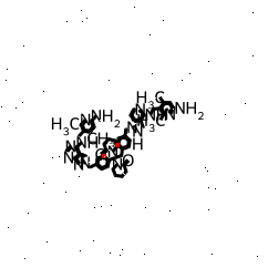 Cc1cc(N)nc(C)c1CNc1nccc2c1CNN2Cc1ccc(CC(c2ccc(Cn3cc4c(NCc5c(C)cc(N)nc5C)ncnc4n3)cc2)(N2CCCCC2=O)N2CCCCC2=O)cc1